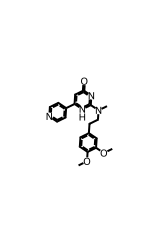 COc1ccc(CCN(C)c2nc(=O)cc(-c3ccncc3)[nH]2)cc1OC